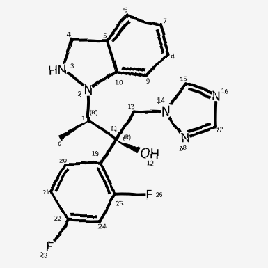 C[C@@H](N1NCc2ccccc21)[C@](O)(Cn1cncn1)c1ccc(F)cc1F